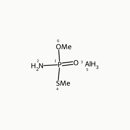 COP(N)(=O)SC.[AlH3]